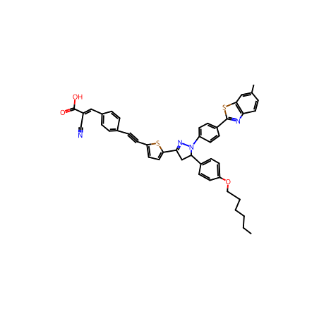 CCCCCCOc1ccc(C2CC(c3ccc(C#Cc4ccc(/C=C(\C#N)C(=O)O)cc4)s3)=NN2c2ccc(-c3nc4ccc(C)cc4s3)cc2)cc1